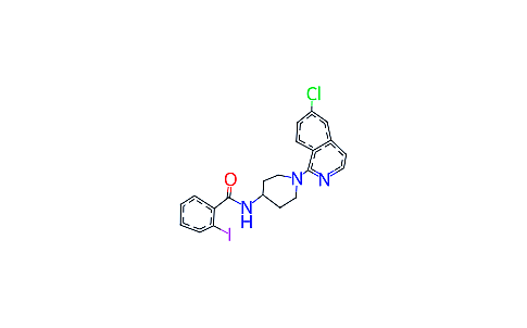 O=C(NC1CCN(c2nccc3cc(Cl)ccc23)CC1)c1ccccc1I